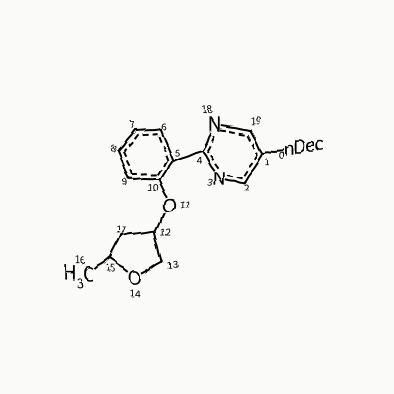 CCCCCCCCCCc1cnc(-c2ccccc2OC2COC(C)C2)nc1